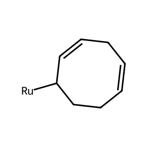 [Ru][CH]1C=CCC=CCC1